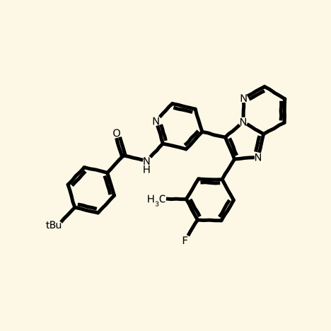 Cc1cc(-c2nc3cccnn3c2-c2ccnc(NC(=O)c3ccc(C(C)(C)C)cc3)c2)ccc1F